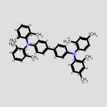 Cc1ccc(N(c2ccc(-c3ccc(N(c4c(C)cccc4C)c4c(C)cccc4C)cc3)cc2)c2ccc(C)cc2C)c(C)c1